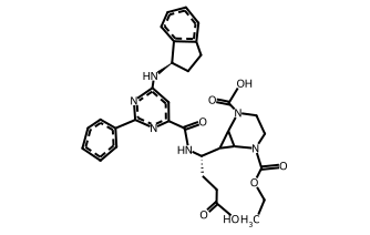 CCOC(=O)N1CCN(C(=O)O)C2C([C@H](CCC(=O)O)NC(=O)c3cc(N[C@@H]4CCc5ccccc54)nc(-c4ccccc4)n3)C21